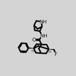 O=C(NC1CC2CNC1C2)C12CC3C[C@@](CF)(C1)C[C@](c1ccccc1)(C3)C2